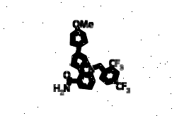 COc1ccc(-c2c[c]c3c4c(C(N)=O)cccc4n(Cc4ccc(C(F)(F)F)cc4C(F)(F)F)c3c2)cc1